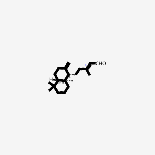 C=C1CC[C@H]2C(C)(C)CCC[C@]2(C)[C@H]1CC/C(C)=C/C=O